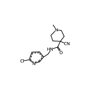 CN1CCC(C#N)(C(=O)NCc2ccc(Cl)nc2)CC1